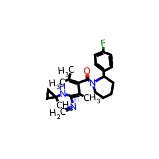 C=N/C(NC1(C)CC1)=C(\C)C(C(=O)N1CCCCC1c1ccc(F)cc1)=C(C)C